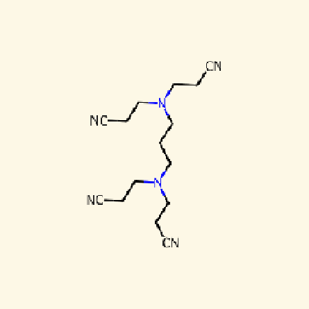 N#CCCN(CCC#N)CCCN(CCC#N)CCC#N